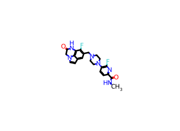 CNC(=O)c1ccc(N2CCN(Cc3cc4ccn5c4c(c3F)NC(=O)C5)CC2)c(F)n1